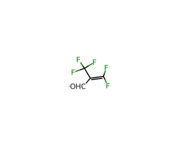 O=[C]C(=C(F)F)C(F)(F)F